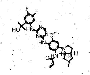 C=CC(=O)Nc1cc(Nc2ncnc(Nc3cc(F)c(F)cc3C(C)(C)O)n2)c(OC)cc1N1CC[C@H]2CN(C)C[C@H]21